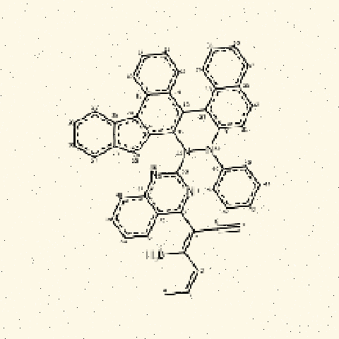 BC(/C=C\C)=C(/C#C)c1nc(N2c3c(c4ccccc4c4c3sc3ccccc34)-c3c(ccc4ccccc34)N2c2ccccc2)nc2ccccc12